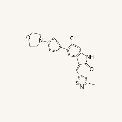 Cc1cc(/C=C2\C(=O)Nc3cc(Cl)c(-c4ccc(N5CCOCC5)cc4)cc32)sn1